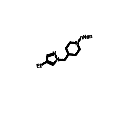 CCCCCCCCCN1CCC(Cn2cc(CC)cn2)CC1